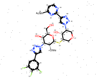 CO[C@@H]1[C@@H](n2cc(-c3cc(F)c(F)c(F)c3)nn2)[C@@H](O)[C@@H](CO)O[C@H]1S[C@@H]1COC[C@H](n2cc(-c3nccc(NC(C)=O)n3)nn2)[C@H]1O